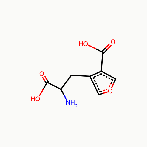 NC(Cc1cocc1C(=O)O)C(=O)O